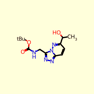 CC(O)c1ccc2nnc(CNC(=O)OC(C)(C)C)n2n1